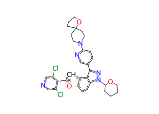 C[C@@H](Oc1ccc2c(c1)c(-c1ccc(N3CCC4(CCCO4)CC3)nc1)nn2C1CCCCO1)c1c(Cl)cncc1Cl